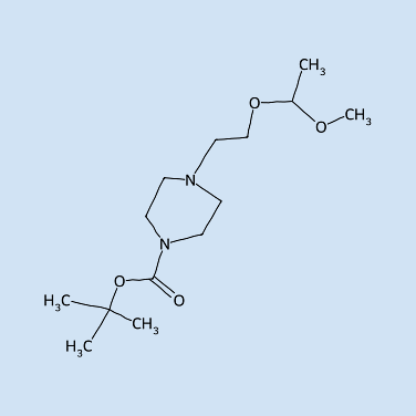 COC(C)OCCN1CCN(C(=O)OC(C)(C)C)CC1